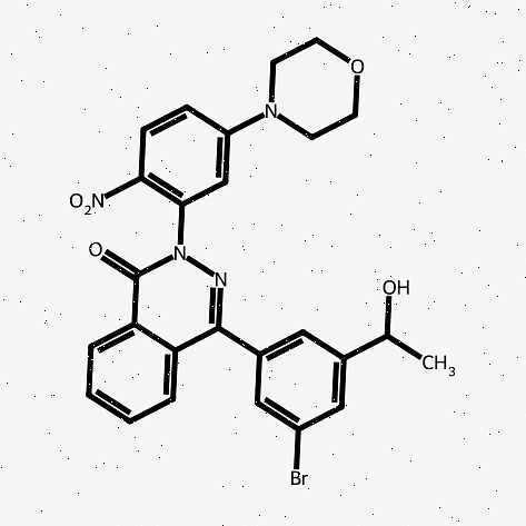 CC(O)c1cc(Br)cc(-c2nn(-c3cc(N4CCOCC4)ccc3[N+](=O)[O-])c(=O)c3ccccc23)c1